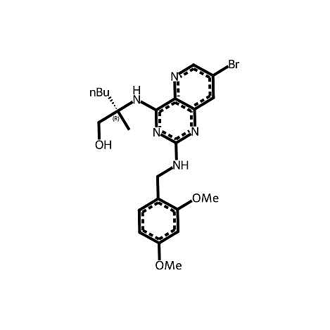 CCCC[C@](C)(CO)Nc1nc(NCc2ccc(OC)cc2OC)nc2cc(Br)cnc12